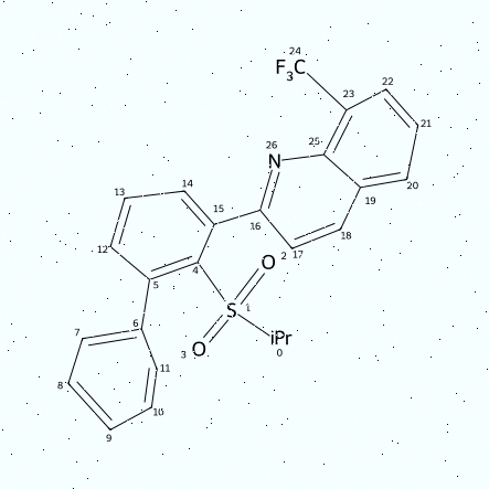 CC(C)S(=O)(=O)c1c(-c2ccccc2)cccc1-c1ccc2cccc(C(F)(F)F)c2n1